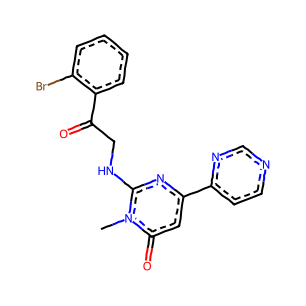 Cn1c(NCC(=O)c2ccccc2Br)nc(-c2ccncn2)cc1=O